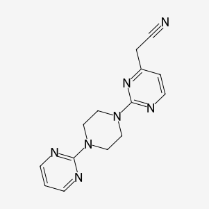 N#CCc1ccnc(N2CCN(c3ncccn3)CC2)n1